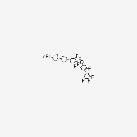 CCCC1CCC(C2CCC(c3cc(F)c(C(F)(F)Oc4ccc(-c5cc(F)c(F)c(F)c5)c(F)c4)c(F)c3)CC2)CC1